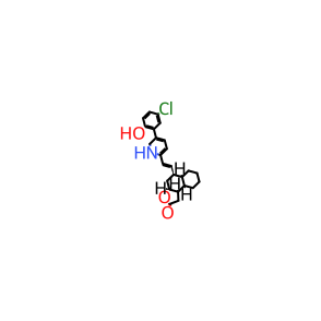 O=C1C[C@H]2[C@@H]3CCCC[C@H]3[C@H](/C=C/C3=CC=C(c4cc(Cl)ccc4O)CN3)C[C@H]2O1